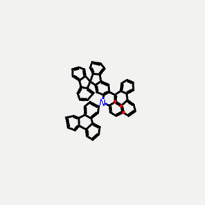 c1ccc(N(c2ccc3c4ccccc4c4ccccc4c3c2)c2cc3c(cc2-c2cc4ccccc4c4ccccc24)-c2ccccc2C32c3ccccc3-c3ccccc32)cc1